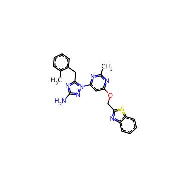 Cc1nc(OCc2nc3ccccc3s2)cc(-n2nc(N)nc2Cc2ccccc2C)n1